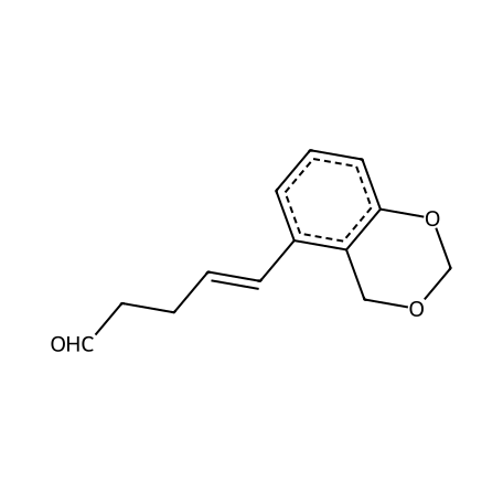 O=CCCC=Cc1cccc2c1COCO2